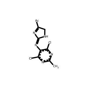 CC(=O)C1=NC(=Nc2c(Cl)nc(C)nc2Cl)NC1